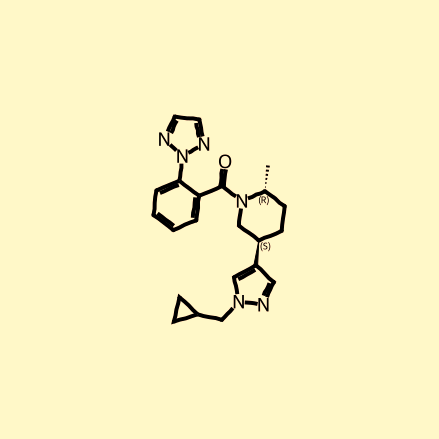 C[C@@H]1CC[C@@H](c2cnn(CC3CC3)c2)CN1C(=O)c1ccccc1-n1nccn1